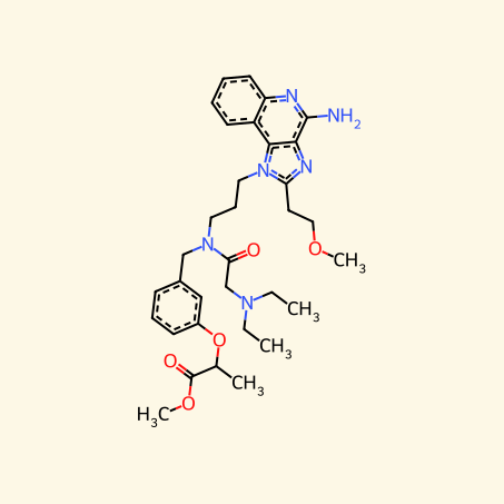 CCN(CC)CC(=O)N(CCCn1c(CCOC)nc2c(N)nc3ccccc3c21)Cc1cccc(OC(C)C(=O)OC)c1